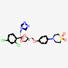 O=S1(=O)CCN(c2ccc(OC[C@@H]3CO[C@@](Cn4cnnc4)(c4ccc(Cl)cc4Cl)O3)cc2)CC1